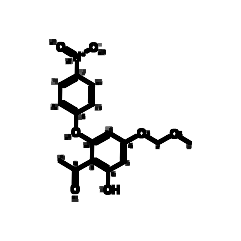 COCOc1cc(O)c(C(C)=O)c(Oc2ccc([N+](=O)[O-])cc2)c1